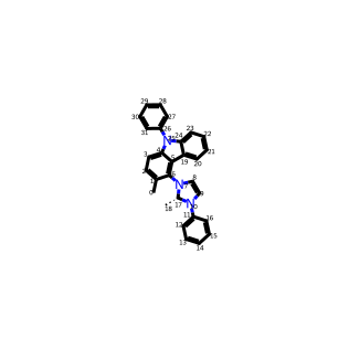 Cc1ccc2c(c1N1C=CN(c3ccccc3)[C@@H]1C)c1ccccc1n2-c1ccccc1